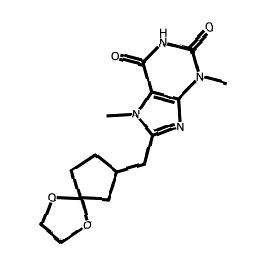 Cn1c(CC2CCC3(C2)OCCO3)nc2c1c(=O)[nH]c(=O)n2C